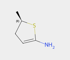 C[C@@H]1CC=C(N)S1